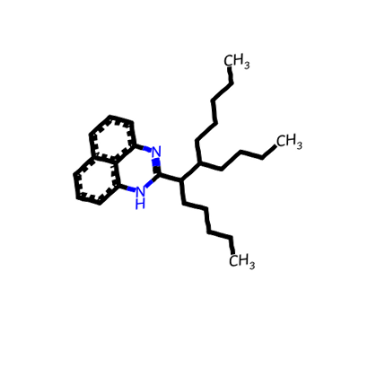 CCCCCC(CCCC)C(CCCCC)C1=Nc2cccc3cccc(c23)N1